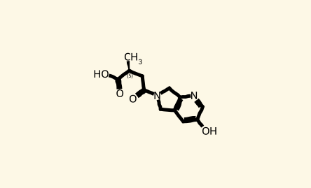 C[C@@H](CC(=O)N1Cc2cc(O)cnc2C1)C(=O)O